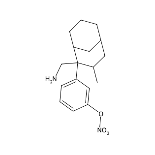 CC1CC2CCCC(C2)C1(CN)c1cccc(O[N+](=O)[O-])c1